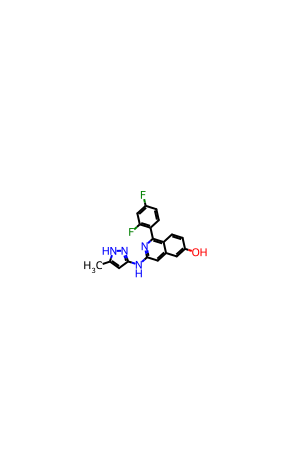 Cc1cc(Nc2cc3cc(O)ccc3c(-c3ccc(F)cc3F)n2)n[nH]1